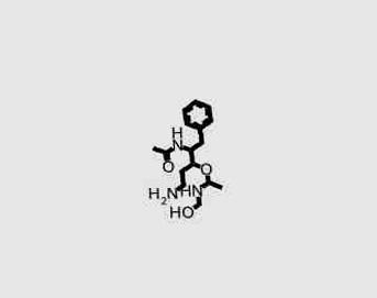 CC(=O)NC(Cc1ccccc1)C(CCN)OC(C)NCO